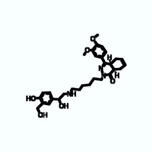 COc1ccc(C2=NN(CCCCCCNCC(O)c3ccc(O)c(CO)c3)C(=O)[C@@H]3CC=CC[C@H]23)cc1OC